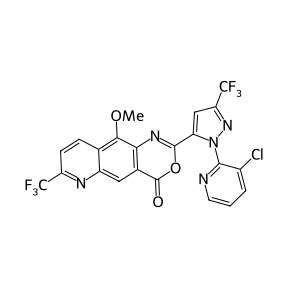 COc1c2ccc(C(F)(F)F)nc2cc2c(=O)oc(-c3cc(C(F)(F)F)nn3-c3ncccc3Cl)nc12